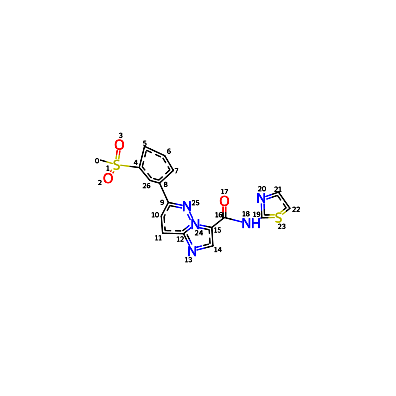 CS(=O)(=O)c1cccc(-c2ccc3ncc(C(=O)Nc4nccs4)n3n2)c1